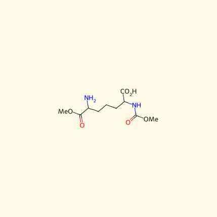 COC(=O)NC(CCCC(N)C(=O)OC)C(=O)O